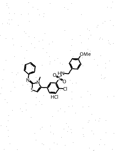 COc1ccc(CNS(=O)(=O)c2cc(-c3csc(=Nc4ccccc4)n3C)ccc2Cl)cc1.Cl